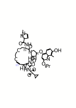 Cc1c(O)ccc2c(O[C@@H]3C[C@H]4C(=O)N[C@]5(C(=O)NS(=O)(=O)C6CC6)C[C@H]5/C=C\CCCCC[C@H](NC(=O)c5ccn(C)n5)C(=O)N4C3)cc(OC(C)C)nc12